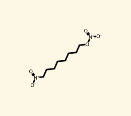 O=[N+]([O-])CCCCCCCCO[N+](=O)[O-]